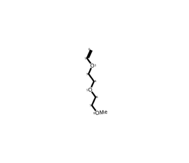 C=COCCOCCOC